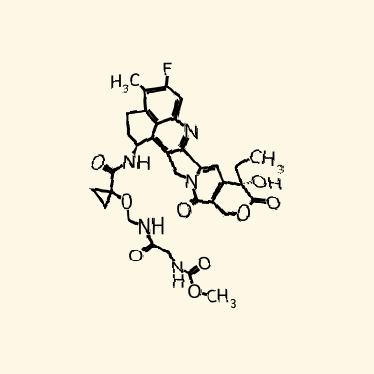 CC[C@@]1(O)C(=O)OCc2c1cc1n(c2=O)Cc2c-1nc1cc(F)c(C)c3c1c2[C@@H](NC(=O)C1(OCNC(=O)CNC(=O)OC)CC1)CC3